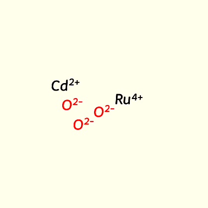 [Cd+2].[O-2].[O-2].[O-2].[Ru+4]